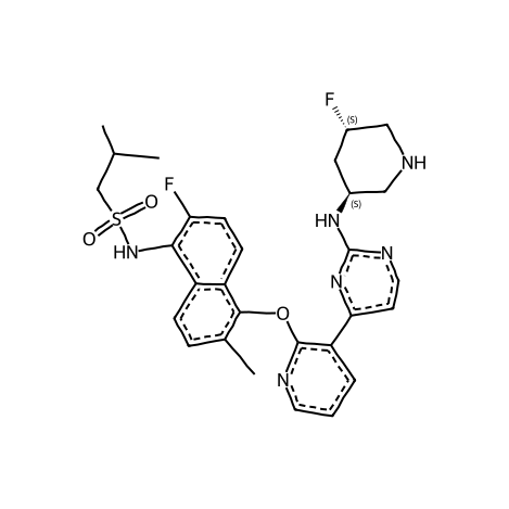 Cc1ccc2c(NS(=O)(=O)CC(C)C)c(F)ccc2c1Oc1ncccc1-c1ccnc(N[C@@H]2CNC[C@@H](F)C2)n1